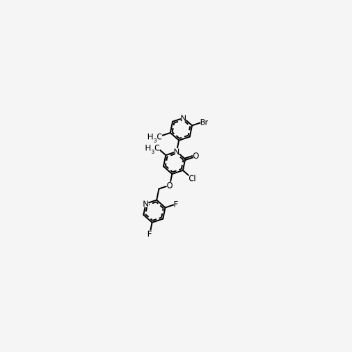 Cc1cnc(Br)cc1-n1c(C)cc(OCc2ncc(F)cc2F)c(Cl)c1=O